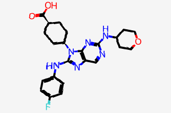 O=C(O)[C@H]1CC[C@@H](n2c(Nc3ccc(F)cc3)nc3cnc(NC4CCOCC4)nc32)CC1